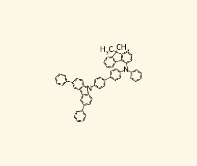 CC1(C)c2ccccc2-c2c(N(c3ccccc3)c3ccc(-c4ccc(-n5c6ccc(-c7ccccc7)cc6c6cc(-c7ccccc7)ccc65)cc4)cc3)cccc21